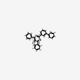 c1ccc(-c2cccc(-c3nc(-c4ccccc4)c4oc5ccccc5c4n3)c2)cc1